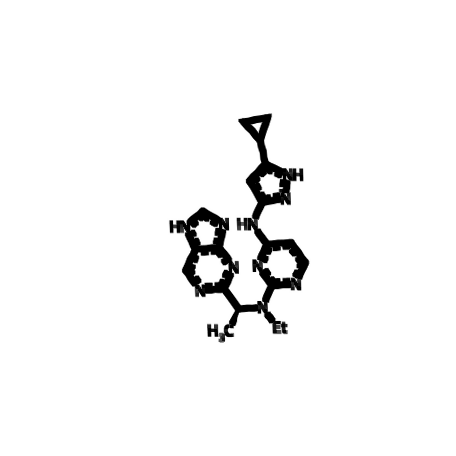 CCN(c1nccc(Nc2cc(C3CC3)[nH]n2)n1)[C@@H](C)c1ncc2[nH]cnc2n1